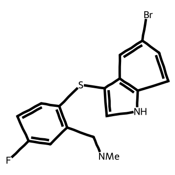 CNCc1cc(F)ccc1Sc1c[nH]c2ccc(Br)cc12